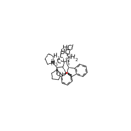 Cl.Cl.[CH3][Hf]([CH3])(=[SiH2])([CH]1C(N2CCCC2)=Cc2ccccc21)[CH]1C(N2CCCC2)=Cc2ccccc21